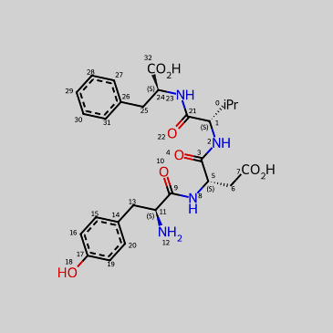 CC(C)[C@H](NC(=O)[C@H](CC(=O)O)NC(=O)[C@@H](N)Cc1ccc(O)cc1)C(=O)N[C@@H](Cc1ccccc1)C(=O)O